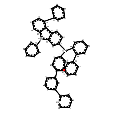 c1ccc(-c2cccc(-c3ccc(N(c4ccc5c6c(-c7ccccc7)cccc6n(-c6ccccc6)c5c4)c4ccccc4-c4ccccc4)cc3)c2)cc1